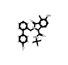 Cc1c(O)ccc2c1C(=O)N(Cc1ccccc1-c1ccc(Cl)cc1)C2C(=O)NC(C)(C)C